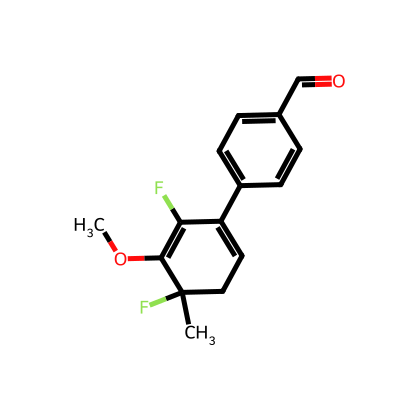 COC1=C(F)C(c2ccc(C=O)cc2)=CCC1(C)F